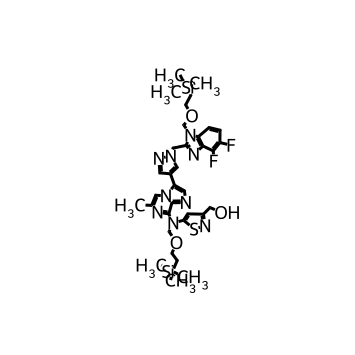 Cc1cn2c(-c3cnn(Cc4nc5c(F)c(F)ccc5n4COCC[Si](C)(C)C)c3)cnc2c(N(COCC[Si](C)(C)C)c2cc(CO)ns2)n1